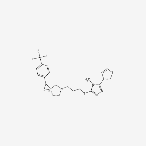 Cn1c(SCCCN2CC[C@@]3(CC3c3ccc(C(F)(F)F)cc3)C2)nnc1-c1ccsc1